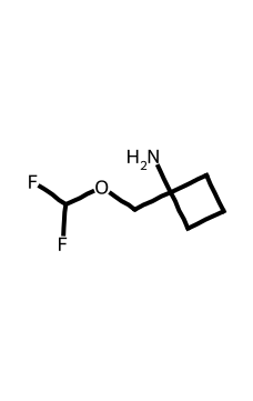 NC1(COC(F)F)CCC1